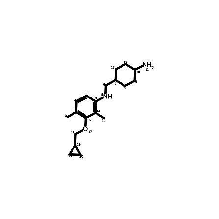 Cc1ccc(NCC2CCC(N)CC2)c(C)c1OCC1CC1